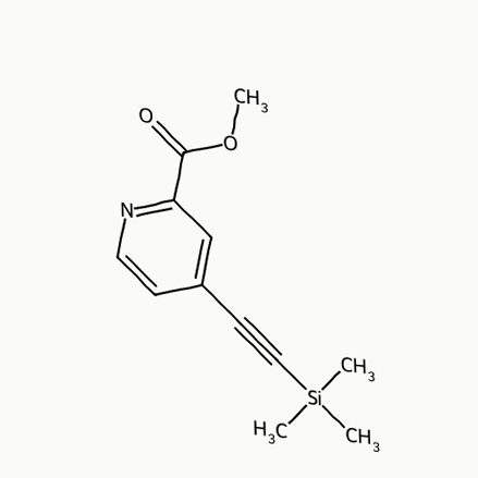 COC(=O)c1cc(C#C[Si](C)(C)C)ccn1